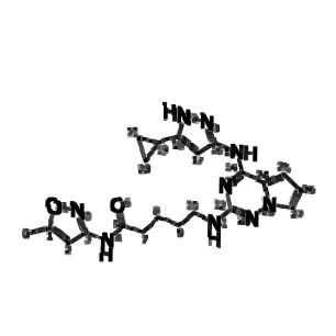 Cc1cc(NC(=O)CCCCNc2nc(Nc3cc(C4CC4)[nH]n3)c3cccn3n2)no1